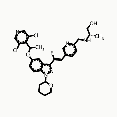 CC(Oc1ccc2c(c1)c(/C(F)=C/c1ccc(CN[C@@H](C)CO)nc1)nn2C1CCCCO1)c1c(Cl)cncc1Cl